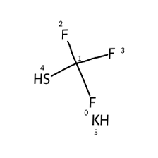 FC(F)(F)S.[KH]